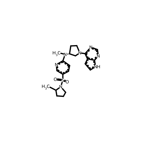 CC1CCCN1S(=O)(=O)c1ccc(N(C)[C@@H]2CCN(c3ncnc4[nH]ccc34)C2)nc1